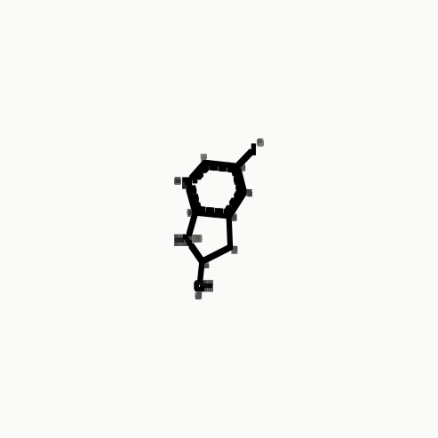 OC1Cc2cc(I)cnc2N1